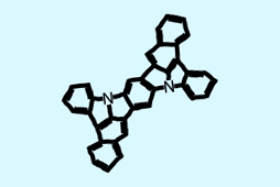 c1ccc2c(c1)cc1c3cc4c(cc3n3c5ccccc5c2c13)c1cc2ccccc2c2c3ccccc3n4c12